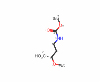 CCO[C@@H](CCNC(=O)OC(C)(C)C)C(=O)O